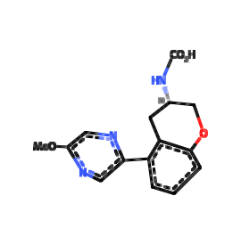 COc1cnc(-c2cccc3c2C[C@H](NC(=O)O)CO3)cn1